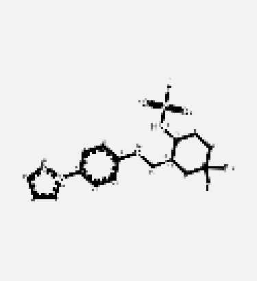 CCS(=O)(=O)N[C@H]1CCC(F)(F)C[C@H]1COc1ccc(-n2cccn2)cc1